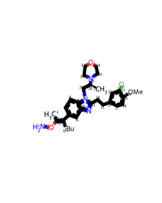 CCC(C)/C(=C(/C)ON)c1ccc2c(c1)nc(CCc1ccc(OC)c(Cl)c1)n2C[C@H](C)N1CCOCC1